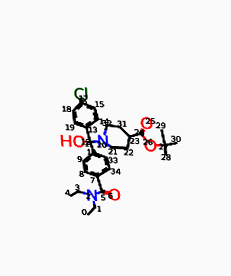 CCN(CC)C(=O)c1ccc(C(O)(c2ccc(Cl)cc2)N2CCC(C(=O)OC(C)(C)C)CC2)cc1